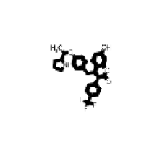 CC(Oc1ccc(Cc2c(-c3ccc(C(F)(F)F)cc3)c(=O)oc3cc(O)ccc23)cc1)C1CCCN1